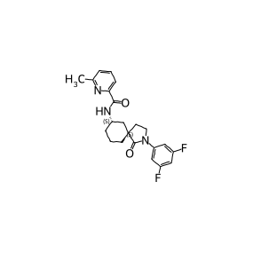 Cc1cccc(C(=O)N[C@H]2CCC[C@]3(CCN(c4cc(F)cc(F)c4)C3=O)C2)n1